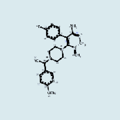 C=N/C(=C(\C(N)=N/C)c1ccc(F)cc1)N1CCN(C(C#N)c2ccc(OC)nc2)CC1